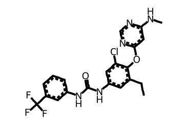 CCc1cc(NC(=O)Nc2cccc(C(F)(F)F)c2)cc(Cl)c1Oc1cc(NC)ncn1